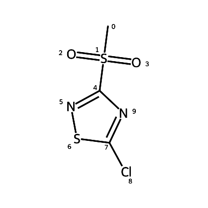 CS(=O)(=O)c1nsc(Cl)n1